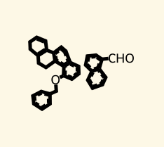 C1=CC2=C(CC1)CCc1c2ccc2cccc(OCc3ccccc3)c12.O=Cc1cccc2ccccc12